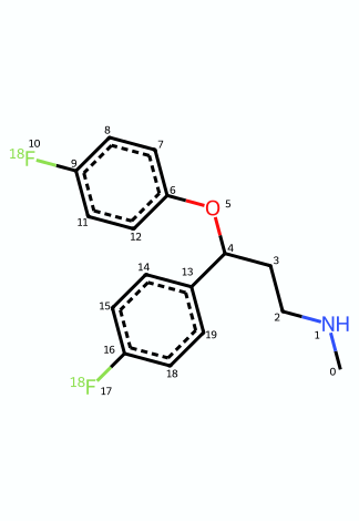 CNCCC(Oc1ccc([18F])cc1)c1ccc([18F])cc1